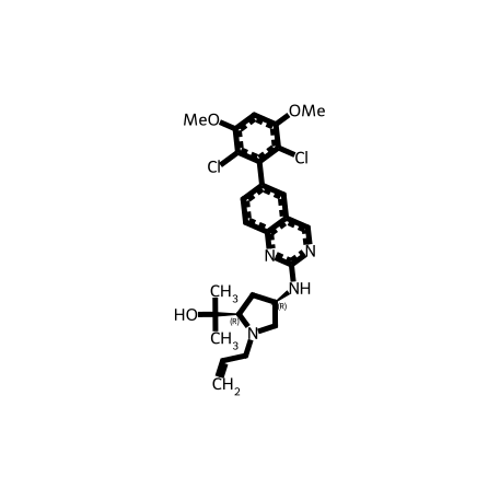 C=CCN1C[C@H](Nc2ncc3cc(-c4c(Cl)c(OC)cc(OC)c4Cl)ccc3n2)C[C@@H]1C(C)(C)O